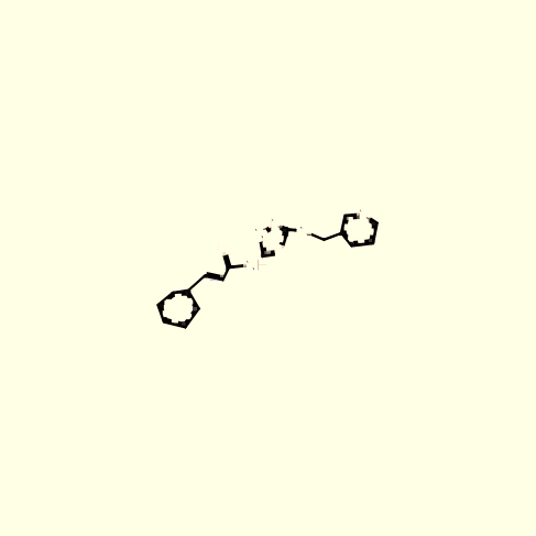 O=C(/C=C/c1ccccc1)Nc1nnc(NCc2cccnc2)s1